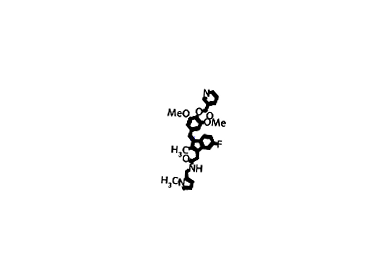 COc1cc(/C=C2/C(C)=C(CC(=O)NCc3cccn3C)c3cc(F)ccc32)cc(OC)c1OC(=O)c1cccnc1